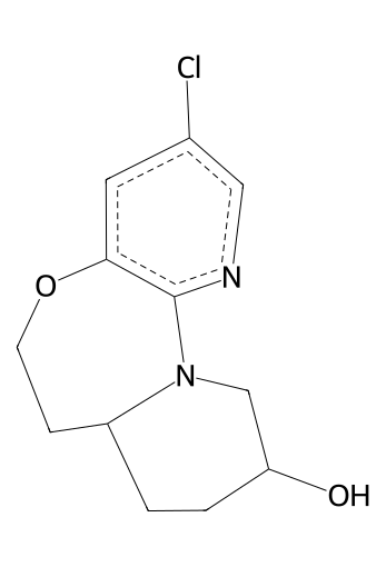 OC1CCC2CCOc3cc(Cl)cnc3N2C1